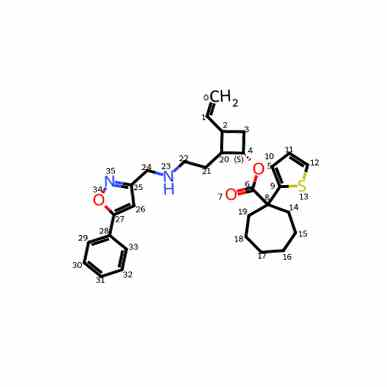 C=CC1C[C@H](OC(=O)C2(c3cccs3)CCCCCC2)C1CCNCc1cc(-c2ccccc2)on1